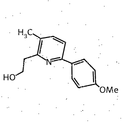 COc1ccc(-c2ccc(C)c(CCO)n2)cc1